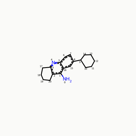 Nc1c2c(nc3ccc(C4CCCCC4)cc13)CCCC2